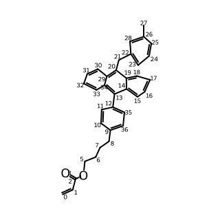 C=CC(=O)OCCCCc1ccc(-c2c3ccccc3c(Cc3cccc(C)c3)c3ccccc23)cc1